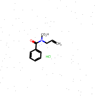 C=CCN(C(=O)O)C(=O)c1ccccc1.Cl